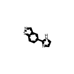 c1c[nH]c(-c2ccc3sncc3c2)n1